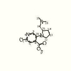 COC(=O)c1cc(Cl)ncc1N1CCCC1CN(C)C